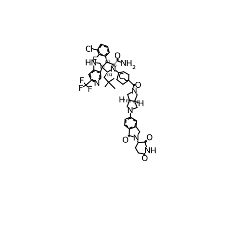 CC(C)(C)C[C@@H]1N(C23CCC(C(=O)N4C[C@@H]5CN(c6ccc7c(c6)CN(C6CCC(=O)NC6=O)C7=O)C[C@H]5C4)(CC2)CC3)[C@@H](C(N)=O)[C@H](c2cccc(Cl)c2F)[C@]12CNc1cc(C(F)(F)F)ncc12